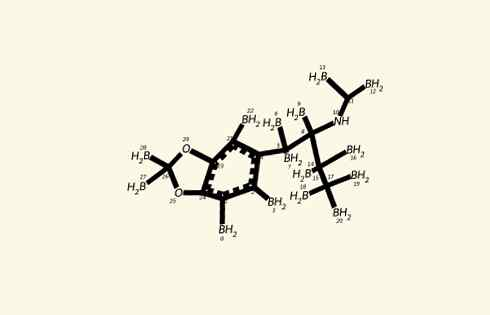 Bc1c(B)c(C(B)(B)C(B)(NC(B)B)C(B)(B)C(B)(B)B)c(B)c2c1OC(B)(B)O2